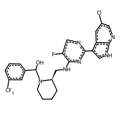 OC(c1cccc(C(F)(F)F)c1)N1CCCC[C@@H]1CNc1nc(-c2c[nH]c3ncc(Cl)cc23)ncc1F